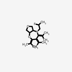 CC(C)=C1OC2COCC2N(CC(C)F)C(=C(C)C)C1=C(C)C